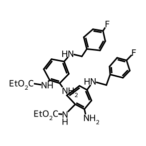 CCOC(=O)Nc1ccc(NCc2ccc(F)cc2)cc1N.CCOC(=O)Nc1ccc(NCc2ccc(F)cc2)cc1N